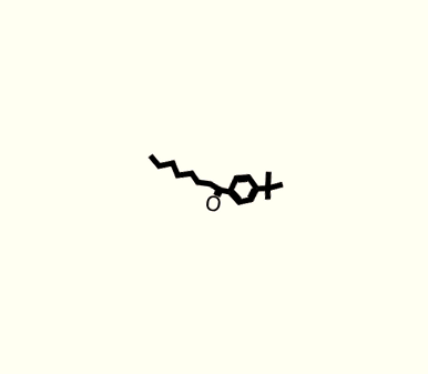 CCCCCCCC(=O)c1ccc(C(C)(C)C)cc1